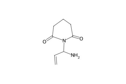 C=CC(N)N1C(=O)CCCC1=O